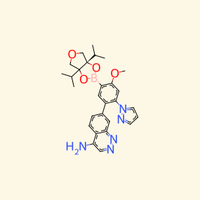 COc1cc(-n2cccn2)c(-c2ccc3c(N)cnnc3c2)cc1B1OC2(C(C)C)COC[C@]2(C(C)C)O1